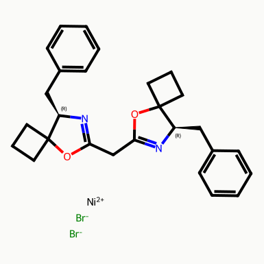 [Br-].[Br-].[Ni+2].c1ccc(C[C@H]2N=C(CC3=N[C@H](Cc4ccccc4)C4(CCC4)O3)OC23CCC3)cc1